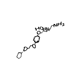 NCCNCC(O)COc1ccc(OCCOC2CCCC2)cc1